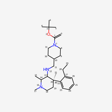 C=C(OC(C)(C)C)N1CCC(CNC2C(C)N(C)CC[C@]2(C)c2ccccc2CC)CC1